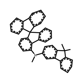 CN(c1ccc2c(c1)-c1ccccc1C2(C)C)c1cccc2c1-c1ccccc1C21c2ccccc2-c2ccccc21